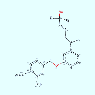 CCC(O)(/C=C/CC(C)c1cccc(OCc2ccc(C(=O)O)c(C(=O)O)c2)c1)CC